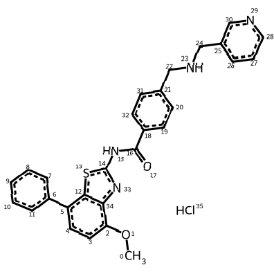 COc1ccc(-c2ccccc2)c2sc(NC(=O)c3ccc(CNCc4cccnc4)cc3)nc12.Cl